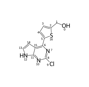 OCc1ccc(-c2nc(Cl)nc3[nH]ccc23)s1